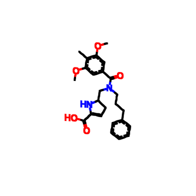 COc1cc(C(=O)N(CCCc2ccccc2)CC2CC=C(C(=O)O)N2)cc(OC)c1C